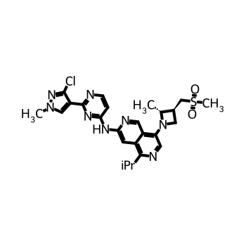 CC(C)c1ncc(N2C[C@H](CS(C)(=O)=O)[C@H]2C)c2cnc(Nc3ccnc(-c4cn(C)nc4Cl)n3)cc12